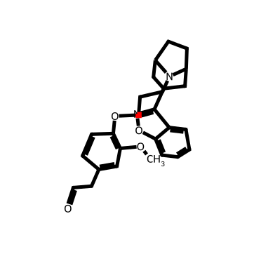 COc1cc(CC=O)ccc1OCCCN1C2CCC1CC(c1noc3ccccc13)C2